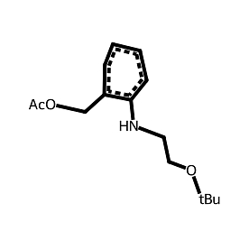 CC(=O)OCc1ccccc1NCCOC(C)(C)C